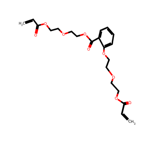 C=CC(=O)OCCOCCOC(=O)c1ccccc1OCCOCCOC(=O)C=C